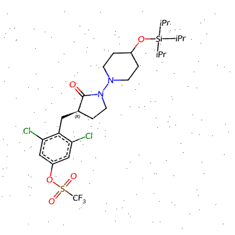 CC(C)[Si](OC1CCN(N2CC[C@@H](Cc3c(Cl)cc(OS(=O)(=O)C(F)(F)F)cc3Cl)C2=O)CC1)(C(C)C)C(C)C